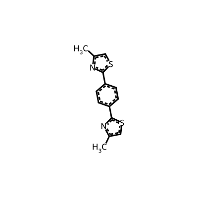 Cc1csc(-c2ccc(-c3nc(C)cs3)cc2)n1